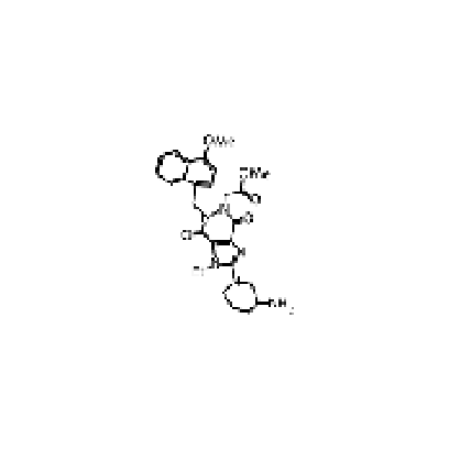 CCn1c(N2CCCC(N)C2)nc2c(=O)n(CC(=O)OC)n(Cc3ccc(OC)c4ccccc34)c(=O)c21